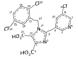 O=C(O)c1nc(-c2cncc(Cl)c2)n(Cc2cc(Cl)ccc2Cl)c1C(=O)O